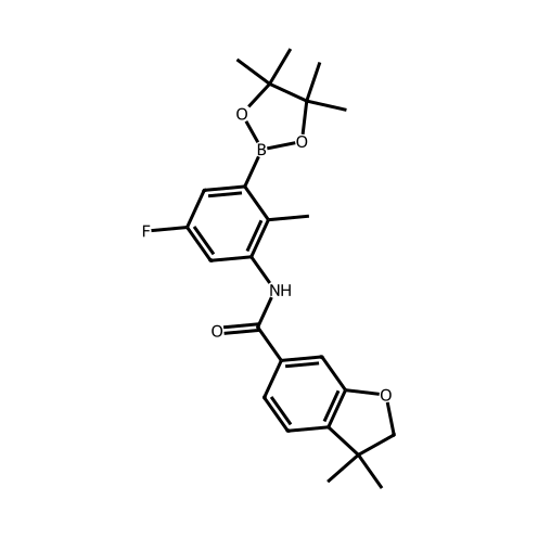 Cc1c(NC(=O)c2ccc3c(c2)OCC3(C)C)cc(F)cc1B1OC(C)(C)C(C)(C)O1